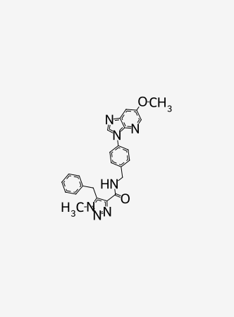 COc1cnc2c(c1)ncn2-c1ccc(CNC(=O)c2nnn(C)c2Cc2ccccc2)cc1